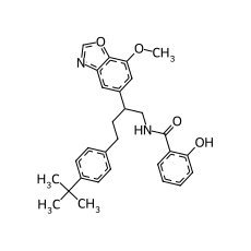 COc1cc(C(CCc2ccc(C(C)(C)C)cc2)CNC(=O)c2ccccc2O)cc2ncoc12